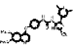 COc1cc2nccc(Oc3ccc(NC(=O)Nc4[nH]c(C(C)(C)C)nc4-c4cc(C)nc(C)c4)cc3)c2cc1OC